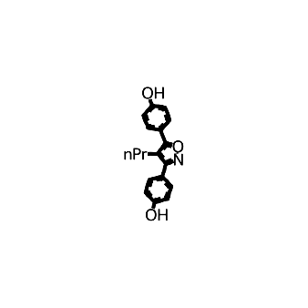 CCCc1c(-c2ccc(O)cc2)noc1-c1ccc(O)cc1